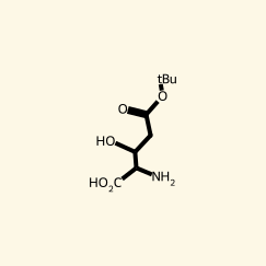 CC(C)(C)OC(=O)CC(O)C(N)C(=O)O